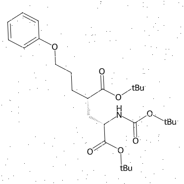 CC(C)(C)OC(=O)N[C@@H](C[C@H](CCCOc1ccccc1)C(=O)OC(C)(C)C)C(=O)OC(C)(C)C